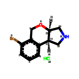 Brc1cccc2c1CO[C@H]1CNC[C@@H]21.Cl